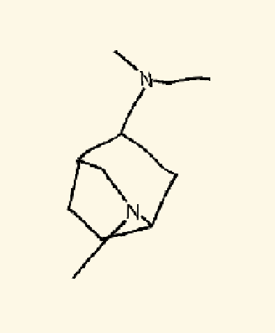 CN(C)C1CC2CCC1CN2C